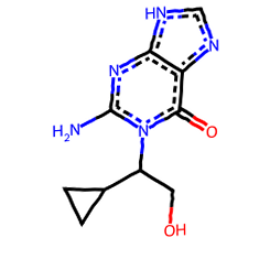 Nc1nc2[nH]cnc2c(=O)n1C(CO)C1CC1